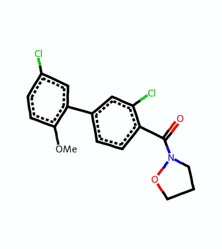 COc1ccc(Cl)cc1-c1ccc(C(=O)N2CCCO2)c(Cl)c1